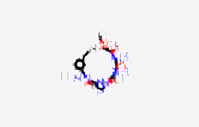 CC(C)[C@@H]1NC(=O)[C@H](C)[C@H](OCC(F)(F)F)CCC=Cc2cccc(c2)[C@@H](C)NC(=O)[C@@H]2CCCN(N2)C(=O)[C@H](C)NC1=O